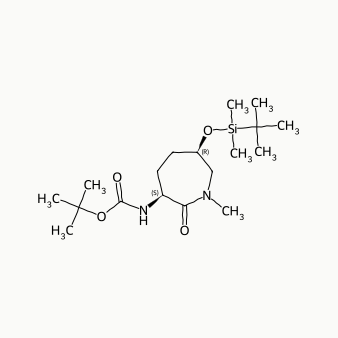 CN1C[C@H](O[Si](C)(C)C(C)(C)C)CC[C@H](NC(=O)OC(C)(C)C)C1=O